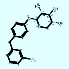 O=[N+]([O-])c1cccc(Cc2ccc(O[C@@H]3OC[C@@H](O)[C@H](O)[C@H]3O)cc2)c1